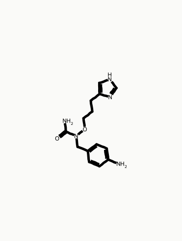 NC(=O)N(Cc1ccc(N)cc1)OCCCc1c[nH]cn1